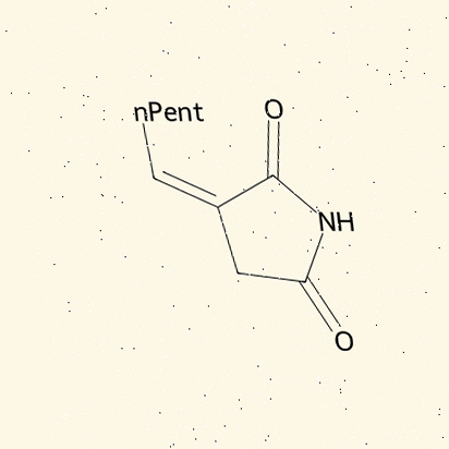 CCCCCC=C1CC(=O)NC1=O